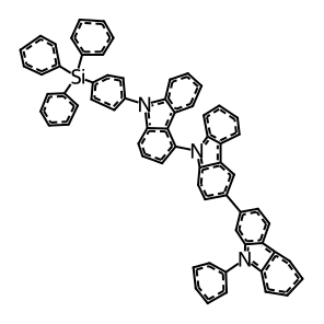 c1ccc(-n2c3ccccc3c3ccc(-c4ccc5c(c4)c4ccccc4n5-c4cccc5c4c4ccccc4n5-c4ccc([Si](c5ccccc5)(c5ccccc5)c5ccccc5)cc4)cc32)cc1